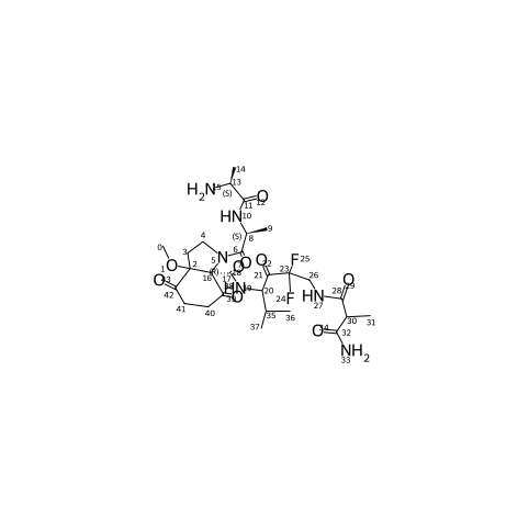 COC12CCN(C(=O)[C@H](C)NC(=O)[C@H](C)N)[C@@]1(C(=O)NC(C(=O)C(F)(F)CNC(=O)C(C)C(N)=O)C(C)C)C(=O)CCC2=O